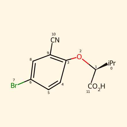 CC(C)[C@H](Oc1ccc(Br)cc1C#N)C(=O)O